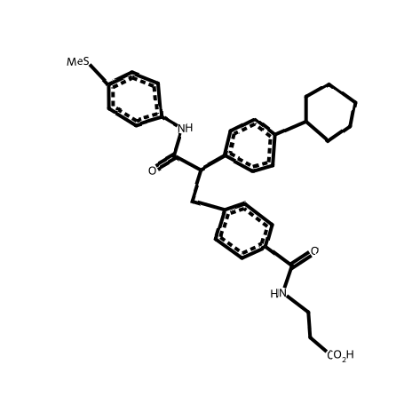 CSc1ccc(NC(=O)C(Cc2ccc(C(=O)NCCC(=O)O)cc2)c2ccc(C3CCCCC3)cc2)cc1